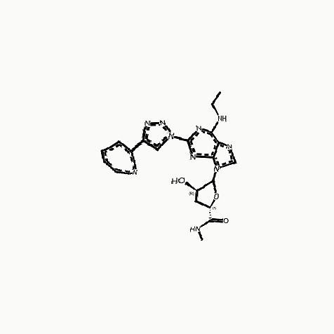 CCNc1nc(-n2cc(-c3ccccn3)nn2)nc2c1ncn2C1O[C@H](C(=O)NC)C[C@H]1O